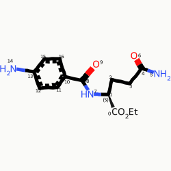 CCOC(=O)[C@H](CCC(N)=O)NC(=O)c1ccc(N)cc1